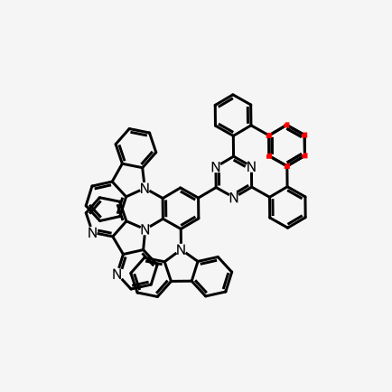 c1ccc(-c2ccccc2-c2nc(-c3cc(-n4c5ccccc5c5ccccc54)c(-n4c5cccnc5c5ncccc54)c(-n4c5ccccc5c5ccccc54)c3)nc(-c3ccccc3-c3ccccc3)n2)cc1